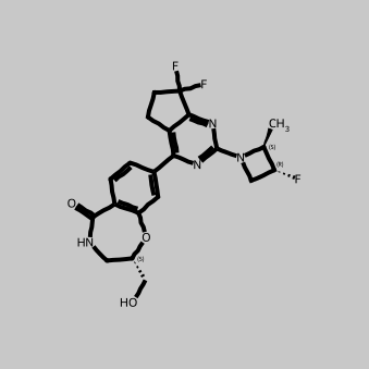 C[C@H]1[C@H](F)CN1c1nc(-c2ccc3c(c2)O[C@H](CO)CNC3=O)c2c(n1)C(F)(F)CC2